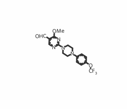 COc1nc(N2CCN(c3ccc(OC(F)(F)F)cc3)CC2)ncc1C=O